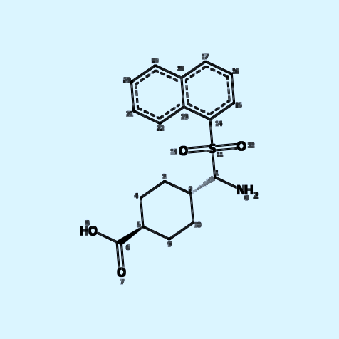 NC([C@H]1CC[C@H](C(=O)O)CC1)S(=O)(=O)c1cccc2ccccc12